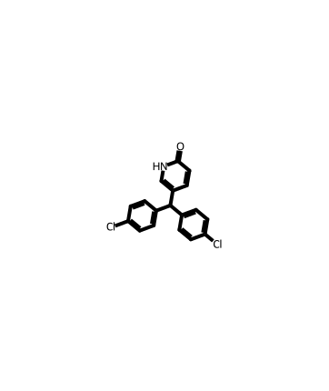 O=c1ccc(C(c2ccc(Cl)cc2)c2ccc(Cl)cc2)c[nH]1